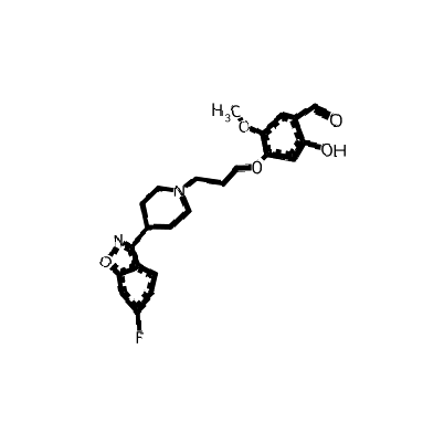 COc1cc(C=O)c(O)cc1OCCCN1CCC(c2noc3cc(F)ccc23)CC1